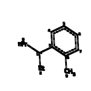 CCC[C](CC)c1ccccc1C